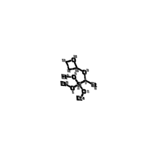 CCO[Si](OCC)(OCC)C(CC)OC1CCO1